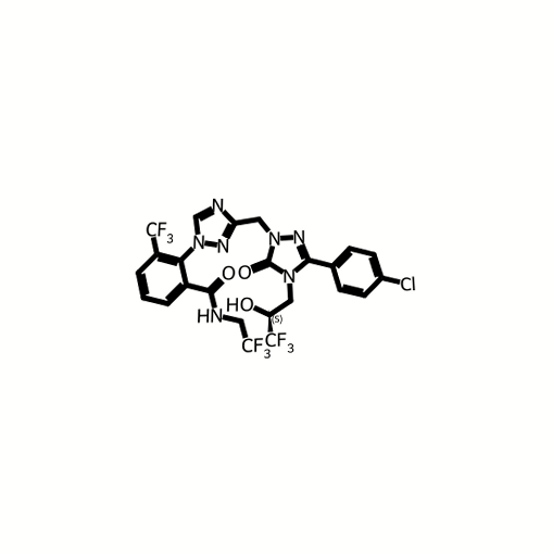 O=C(NCC(F)(F)F)c1cccc(C(F)(F)F)c1-n1cnc(Cn2nc(-c3ccc(Cl)cc3)n(C[C@H](O)C(F)(F)F)c2=O)n1